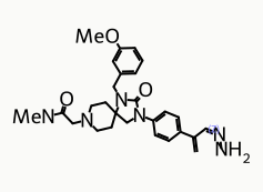 C=C(/C=N\N)c1ccc(N2CC3(CCN(CC(=O)NC)CC3)N(Cc3cccc(OC)c3)C2=O)cc1